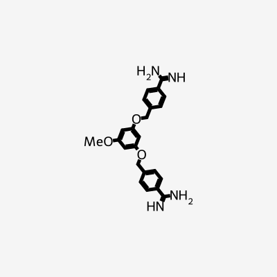 COc1cc(OCc2ccc(C(=N)N)cc2)cc(OCc2ccc(C(=N)N)cc2)c1